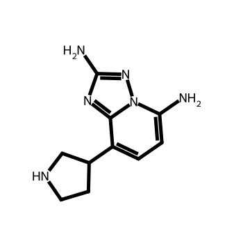 Nc1nc2c(C3CCNC3)ccc(N)n2n1